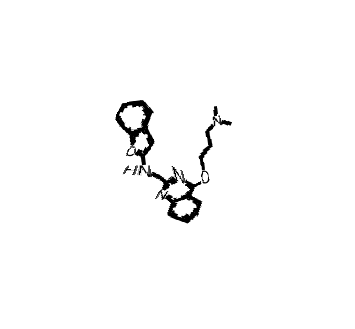 CN(C)CCCOc1nc(Nc2cc3ccccc3o2)nc2ccccc12